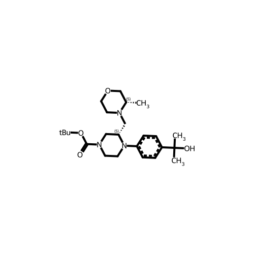 C[C@H]1COCCN1C[C@H]1CN(C(=O)OC(C)(C)C)CCN1c1ccc(C(C)(C)O)cc1